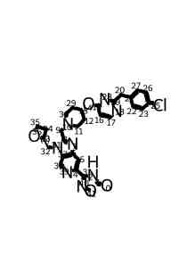 O=c1[nH]c(-c2cc3nc(CN4CCC(Oc5ccnc(Cc6ccc(Cl)cc6)n5)CC4)n(C[C@@H]4CCO4)c3cn2)no1